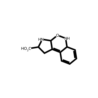 O=C(O)C1CC2=C3C=CC=CC3NOC2N1